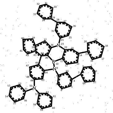 c1ccc(-c2cccc(N3B4c5ccc(-c6ccccc6)cc5N(c5cccc(-c6ccccc6)c5)c5cc6ccccc6c(c54)-c4ccc(N(c5ccccc5)c5ccccc5)cc43)c2)cc1